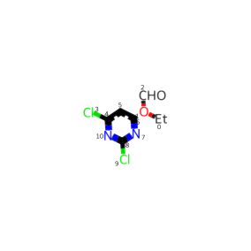 CCOC=O.Clc1ccnc(Cl)n1